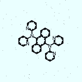 c1ccc(N(c2ccccn2)c2c3ccccc3c(N(c3ccccn3)c3ccccn3)c3ccccc23)nc1